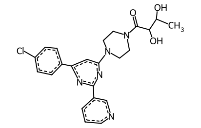 CC(O)C(O)C(=O)N1CCN(c2cc(-c3ccc(Cl)cc3)nc(-c3cccnc3)n2)CC1